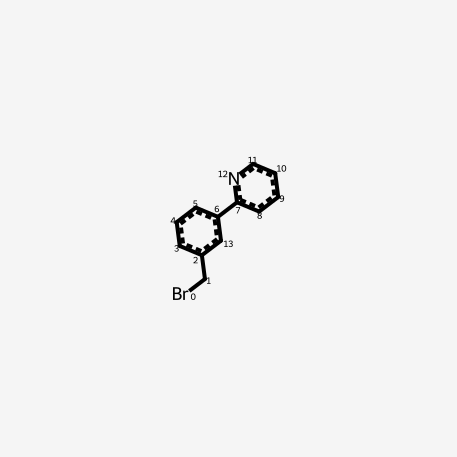 BrCc1cccc(-c2ccccn2)c1